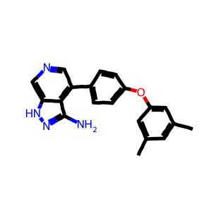 Cc1cc(C)cc(Oc2ccc(-c3cncc4[nH]nc(N)c34)cc2)c1